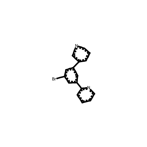 Brc1cc(-c2cccnc2)cc(-c2ccccn2)c1